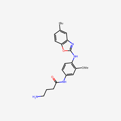 COc1cc(NC(=O)CCCN)ccc1Nc1nc2cc(C(C)(C)C)ccc2o1